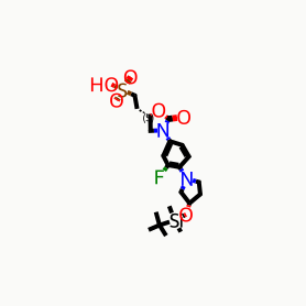 CC(C)(C)[Si](C)(C)OC1CCN(c2ccc(N3C[C@H](CCS(=O)(=O)O)OC3=O)cc2F)C1